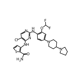 NC(=O)c1sccc1Nc1nc(Nc2ccc(N3CCC(N4CCCC4)CC3)cc2OC(F)F)ncc1Cl